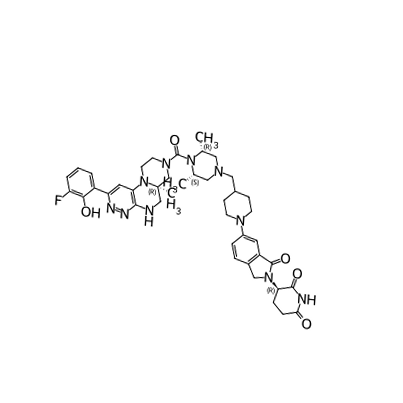 C[C@@H]1CN(CC2CCN(c3ccc4c(c3)C(=O)N([C@@H]3CCC(=O)NC3=O)C4)CC2)C[C@H](C)N1C(=O)N1CCN2c3cc(-c4cccc(F)c4O)nnc3NC[C@]2(C)C1